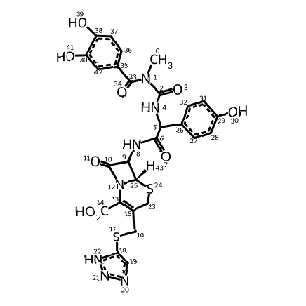 CN(C(=O)NC(C(=O)NC1C(=O)N2C(C(=O)O)=C(CSc3cnn[nH]3)CS[C@@H]12)c1ccc(O)cc1)C(=O)c1ccc(O)c(O)c1